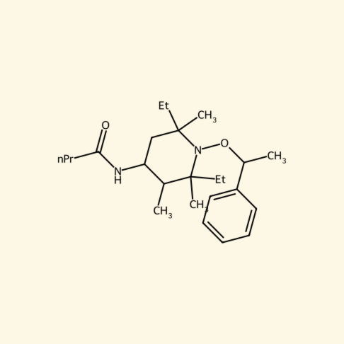 CCCC(=O)NC1CC(C)(CC)N(OC(C)c2ccccc2)C(C)(CC)C1C